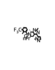 CCC[C@@H]1Cc2c(-c3ccnn3C)nc(C)nc2[C@@H](C)N1C(=O)c1cccc(C(F)(F)F)c1C